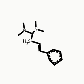 CN(C)C([SiH2]C=Cc1ccccc1)N(C)C